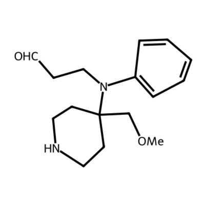 COCC1(N(CCC=O)c2ccccc2)CCNCC1